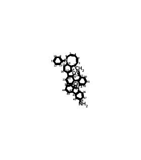 C=C1/C=C\C=C/CN(c2ccccc2)C2C=Cc3c(oc4c3C=CCC4c3c(C#N)cccc3N3c4ccc(N)cc4C4C=CC=CC43C)C12